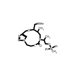 CNCC1OCc2cn(nn2)CCCC(=O)N(C(C)CO[Si](C)(C(C)C)C(C)C)CC1C